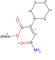 CCCCCCOC(=O)/C(=C\C(N)=O)C1CCCCC1